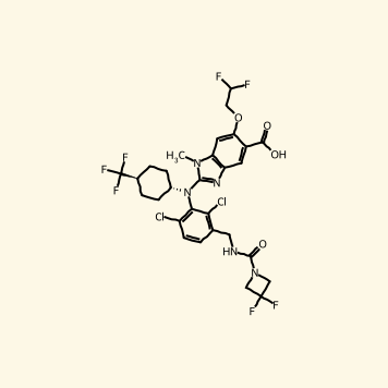 Cn1c(N(c2c(Cl)ccc(CNC(=O)N3CC(F)(F)C3)c2Cl)[C@H]2CC[C@H](C(F)(F)F)CC2)nc2cc(C(=O)O)c(OCC(F)F)cc21